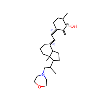 C=C1/C(=C\C=C2/CCCC3(C)C2CCC3C(C)CN2CCOCC2)CCC(C)[C@@H]1O